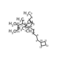 CCCC[PH](C)(CCCCC1CCC1)C(C)(C)C(C)C(C)CC